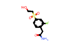 NC(=O)Cc1ccc(S(=O)(=O)CCO)cc1F